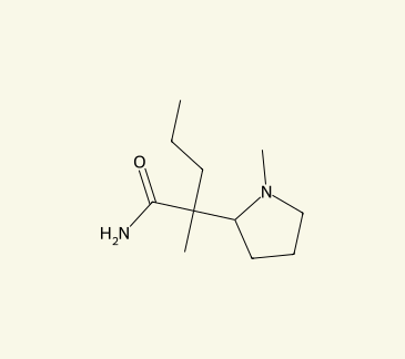 CCCC(C)(C(N)=O)C1CCCN1C